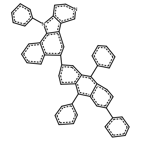 c1ccc(-c2ccc3c(-c4ccccc4)c4cc(-c5cc6c7cnccc7n(-c7ccccc7)c6c6ccccc56)ccc4c(-c4ccccc4)c3c2)cc1